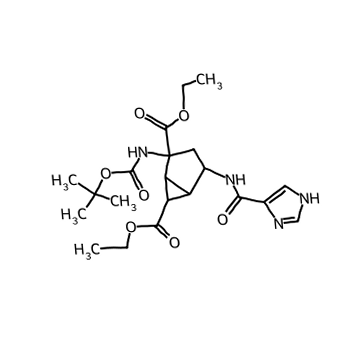 CCOC(=O)C1C2C(NC(=O)c3c[nH]cn3)CC(NC(=O)OC(C)(C)C)(C(=O)OCC)C12